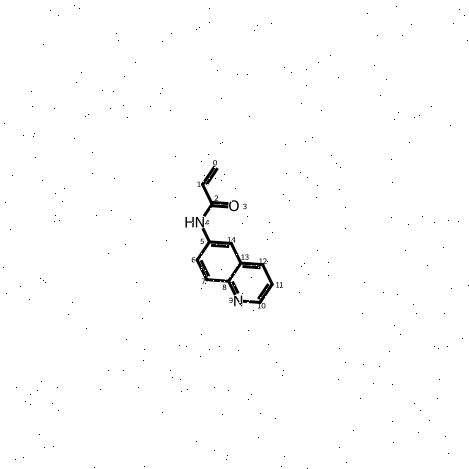 C=CC(=O)Nc1ccc2ncccc2c1